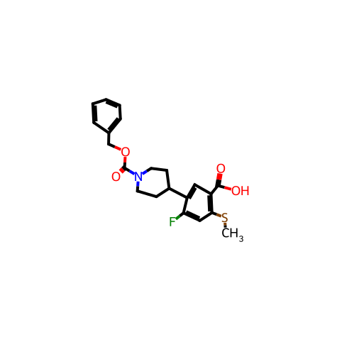 CSc1cc(F)c(C2CCN(C(=O)OCc3ccccc3)CC2)cc1C(=O)O